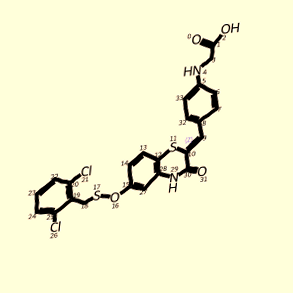 O=C(O)CNc1ccc(/C=C2\Sc3ccc(OSCc4c(Cl)cccc4Cl)cc3NC2=O)cc1